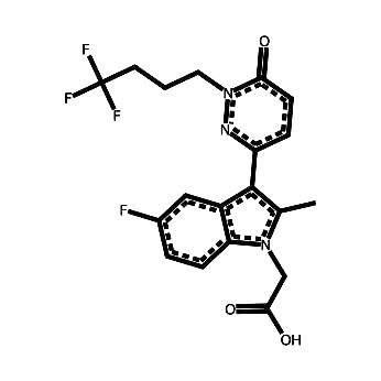 Cc1c(-c2ccc(=O)n(CCCC(F)(F)F)n2)c2cc(F)ccc2n1CC(=O)O